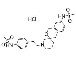 CS(=O)(=O)Nc1ccc(CCN2CCCC3(Cc4ccc(NS(C)(=O)=O)cc4CO3)C2)cc1.Cl